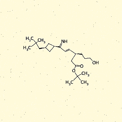 CC(C)(C)C[C@H]1C[C@@H](C(=N)/C=C/[C@@H](CCCO)CC(=O)OC(C)(C)C)C1